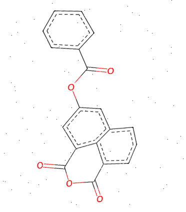 O=C(Oc1cc2c3c(cccc3c1)C(=O)OC2=O)c1ccccc1